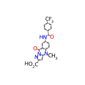 Cn1c2ccc(NC(=O)c3ccc(C(F)(F)F)cc3)cc2c(=O)n2nc(C(=O)O)cc12